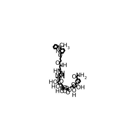 C[n+]1c2ccccc2nc2c(OCCCC(=O)NCCNc3ncnc4c3ncn4C3OC(COP(=O)(O)OP(=O)(O)OCC4OC([n+]5cccc(C(N)=O)c5)C(O)C4O)C(O)C3O)cccc21